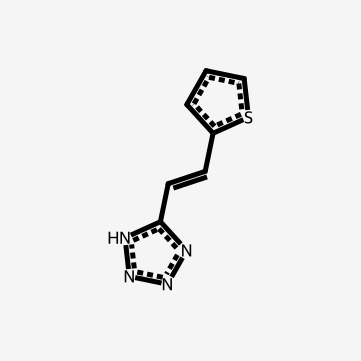 C(=Cc1cccs1)c1nnn[nH]1